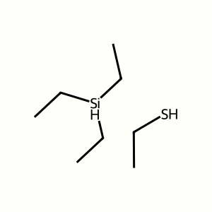 CCS.CC[SiH](CC)CC